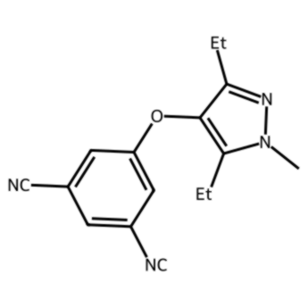 [C-]#[N+]c1cc(C#N)cc(Oc2c(CC)nn(C)c2CC)c1